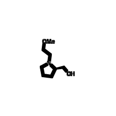 COCCN1CCC[C@@H]1CO